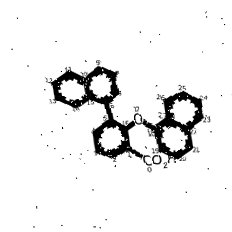 O=C(O)c1cccc(-c2cccc3ccccc23)c1Oc1cccc2ccccc12